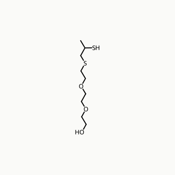 CC(S)CSCCOCCOCCO